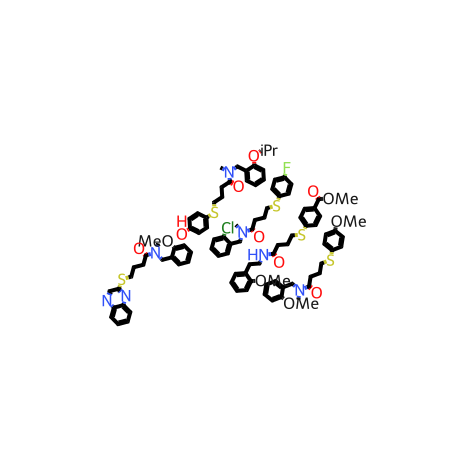 CC(C)Oc1ccccc1CN(C)C(=O)CCCSc1ccc(O)cc1.CN(Cc1ccccc1Cl)C(=O)CCCSc1ccc(F)cc1.COC(=O)c1ccc(SCCCC(=O)NCCc2ccccc2OC)cc1.COc1ccc(SCCCC(=O)N(C)Cc2ccccc2OC)cc1.COc1ccccc1CN(C)C(=O)CCCSc1cnc2ccccc2n1